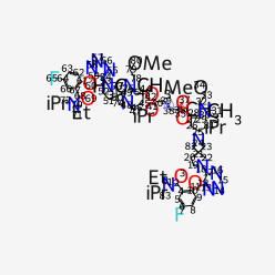 CCN(C(=O)c1cc(F)ccc1Oc1nncnc1N1CCC2(C1)CN(C(CC(C)(CN(C)CCOC)OC(=O)/C=C/C(=O)OC(C)(CC(C(C)C)N1CC3(CCN(c4ncnnc4Oc4ccc(F)cc4C(=O)N(CC)C(C)C)C3)C1)CN(C)CCOC)C(C)C)C2)C(C)C